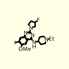 CCN1CCC(Nc2nc(N3CCC(F)C3)nc3cc(I)c(OC)cc23)CC1